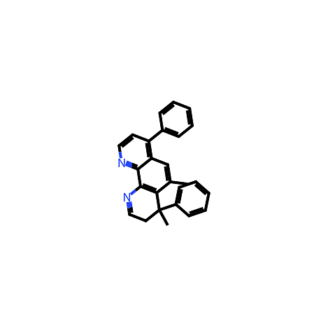 Cc1cc2c(-c3ccccc3)ccnc2c2c1C(C)(c1ccccc1)CC=N2